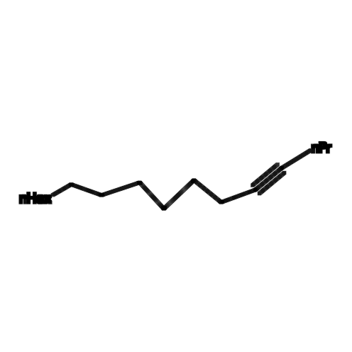 [CH2]CCC#CCCCCCCCCCCC[CH2]